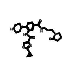 O=C(NCCCN1CCCC1=O)c1ccc(N2CCNCC2)c(NC(=O)c2coc(C3CC3)n2)c1